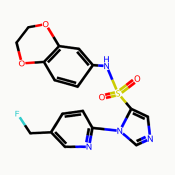 O=S(=O)(Nc1ccc2c(c1)OCCO2)c1cncn1-c1ccc(CF)cn1